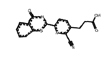 N#Cc1nc(-c2nc(=O)c3ccccc3s2)ccc1CCC(=O)O